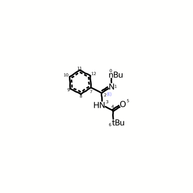 CCCC/N=C(/NC(=O)C(C)(C)C)c1ccccc1